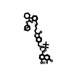 CC(C)(C)[Si](C)(C)O[C@@H](CNCc1ccc2c(c1)CN(CC/C=C/c1cccc(C3(C(=O)OC4CN5CCC4CC5)CCCCC3)c1)C2=O)c1ccc(O)c2[nH]c(=O)ccc12